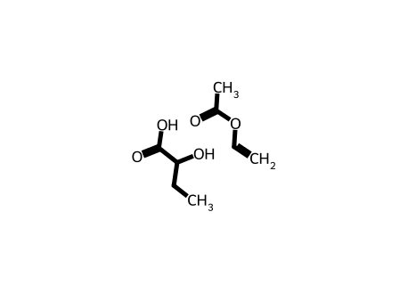 C=COC(C)=O.CCC(O)C(=O)O